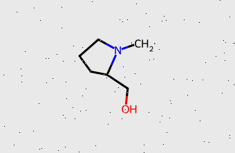 [CH2]N1CCCC1CO